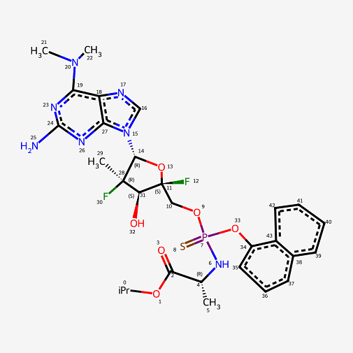 CC(C)OC(=O)[C@@H](C)NP(=S)(OC[C@@]1(F)O[C@@H](n2cnc3c(N(C)C)nc(N)nc32)[C@](C)(F)[C@@H]1O)Oc1cccc2ccccc12